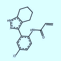 C=CC(=O)Nc1ccc(Cl)cc1-c1n[nH]c2c1CCCC2